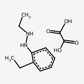 CCNNc1ccccc1CC.O=C(O)C(=O)O